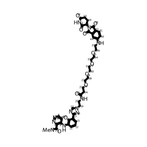 CNC(=O)c1nnccc1Nc1cccc(-c2ncn(CCNC(=O)CCOCCOCCOCCOCCNc3ccc4c(c3)C(=O)N(C3CCC(=O)NC3=O)C4=O)n2)c1OC